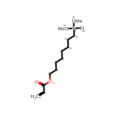 C=CC(=O)OCCCCCCCC[Si](CC)(OC)OC